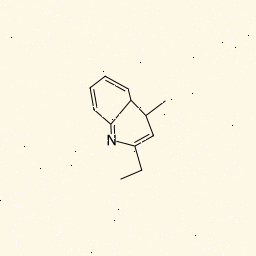 CCC1=CC(C)C2C=CC=CC2=N1